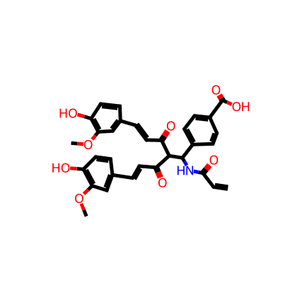 C=CC(=O)NC(c1ccc(C(=O)O)cc1)C(C(=O)/C=C/c1ccc(O)c(OC)c1)C(=O)/C=C/c1ccc(O)c(OC)c1